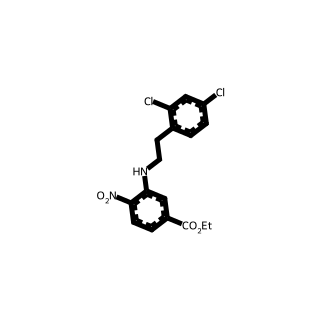 CCOC(=O)c1ccc([N+](=O)[O-])c(NCCc2ccc(Cl)cc2Cl)c1